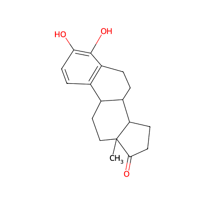 CC12CCC3c4ccc(O)c(O)c4CCC3C1CCC2=O